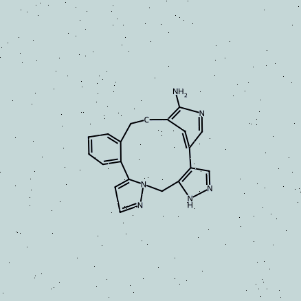 Nc1ncc2cc1CCc1ccccc1-c1ccnn1Cc1[nH]ncc1-2